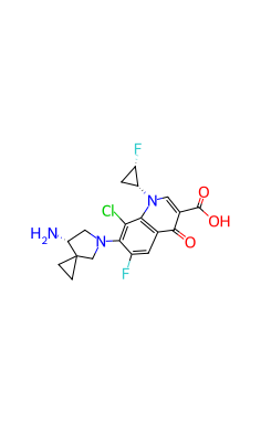 N[C@@H]1CN(c2c(F)cc3c(=O)c(C(=O)O)cn([C@@H]4C[C@@H]4F)c3c2Cl)CC12CC2